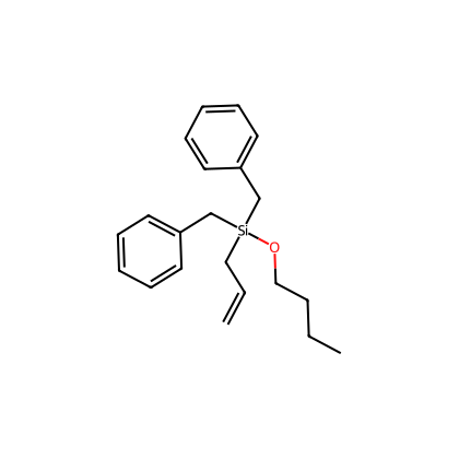 C=CC[Si](Cc1ccccc1)(Cc1ccccc1)OCCCC